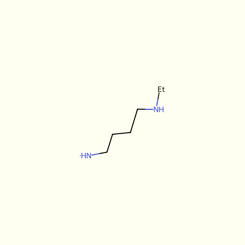 CCNCCCC[NH]